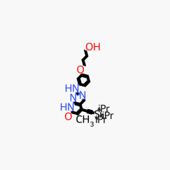 Cc1c(C#C[Si](C(C)C)(C(C)C)C(C)C)c2cnc(Nc3cccc(OCCCCO)c3)nc2[nH]c1=O